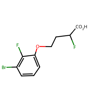 O=C(O)C(F)CCOc1cccc(Br)c1F